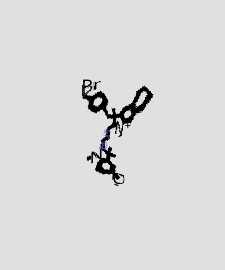 COc1ccc2c(c1)C(C)(C)/C(=C\C=C\C1=[N+](C)c3cc4ccccc4cc3C1(C)Cc1ccc(CBr)cc1)N2C